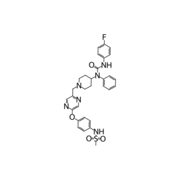 CS(=O)(=O)Nc1ccc(Oc2cnc(CN3CCC(N(C(=O)Nc4ccc(F)cc4)c4ccccc4)CC3)cn2)cc1